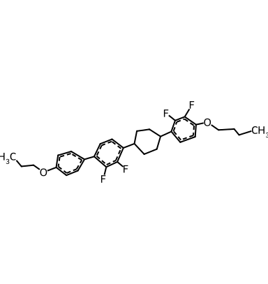 CCCCOc1ccc(C2CCC(c3ccc(-c4ccc(OCCC)cc4)c(F)c3F)CC2)c(F)c1F